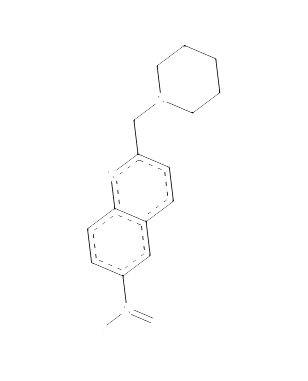 O=[N+]([O-])c1ccc2nc(CN3CCCCC3)ccc2c1